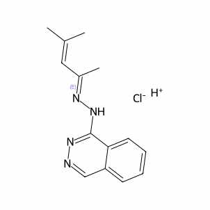 CC(C)=C/C(C)=N/Nc1nncc2ccccc12.[Cl-].[H+]